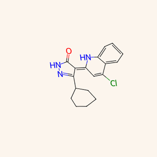 O=C1NN=C(C2CCCCC2)/C1=C1\C=C(Cl)c2ccccc2N1